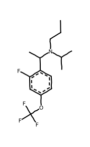 CCCN(C(C)C)C(C)c1ccc(OC(F)(F)F)cc1F